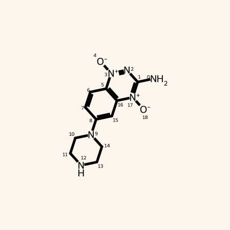 Nc1n[n+]([O-])c2ccc(N3CCNCC3)cc2[n+]1[O-]